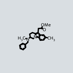 COC(=O)Cc1c2n(c3ccc(C)cc13)CC(N(C)Cc1ccccc1)CC2